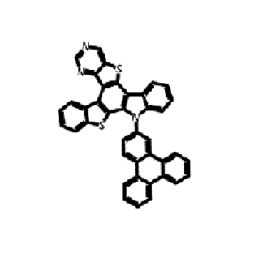 c1ccc2c(c1)sc1c2c2c3ncncc3sc2c2c3ccccc3n(-c3ccc4c5ccccc5c5ccccc5c4c3)c12